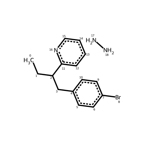 CCC(Cc1ccc(Br)cc1)c1ccccn1.NN